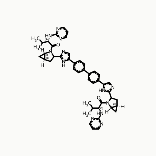 CC(C)[C@H](Nc1ncccn1)C(=O)N1C(c2ncc(-c3ccc(-c4ccc(-c5cnc(C6C[C@H]7C[C@H]7N6C(=O)[C@@H](Nc6ncccn6)C(C)C)[nH]5)cc4)cc3)[nH]2)C[C@H]2C[C@H]21